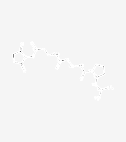 C[13CH](C)[13CH2][15N]1CCC[13CH]1C(=O)N[13CH2][13CH2][13C](=O)[15NH]CC[13C](=O)ON1C(=O)CCC1=O